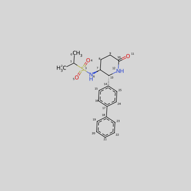 CC(C)S(=O)(=O)N[C@H]1CCC(=O)N[C@@H]1c1ccc(-c2ccccc2)cc1